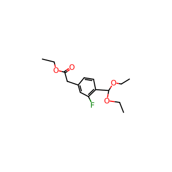 CCOC(=O)Cc1ccc(C(OCC)OCC)c(F)c1